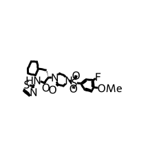 COc1ccc(S(=O)(=O)N2CCN([C@@H](CC3CCCCC3)C(=O)Nc3nccs3)C(=O)C2)cc1F